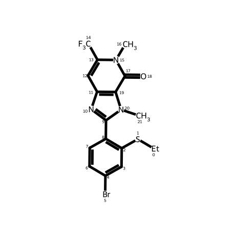 CCSc1cc(Br)ccc1-c1nc2cc(C(F)(F)F)n(C)c(=O)c2n1C